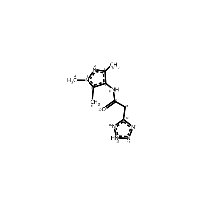 Cc1nn(C)c(C)c1NC(=O)Cc1nn[nH]n1